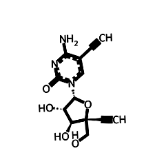 C#Cc1cn([C@@H]2O[C@](C#C)(CO)[C@@H](O)[C@@H]2O)c(=O)nc1N